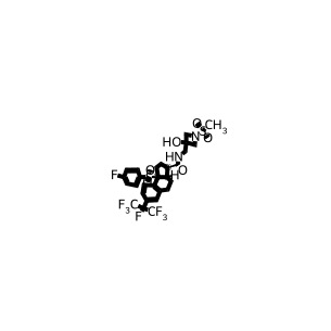 CS(=O)(=O)N1CC(O)(CNC(=O)[C@@H]2CC[C@@]3(S(=O)(=O)c4ccc(F)cc4)c4ccc(C(F)(C(F)(F)F)C(F)(F)F)cc4CC[C@@H]23)C1